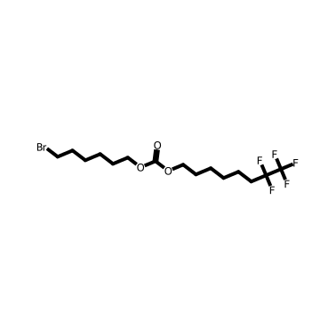 O=C(OCCCCCCBr)OCCCCCCC(F)(F)C(F)(F)F